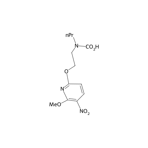 CCCN(CCOc1ccc([N+](=O)[O-])c(OC)n1)C(=O)O